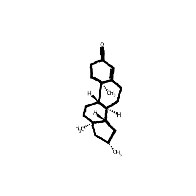 C[C@H]1C[C@H]2[C@@H]3CCC4=CC(=O)CC[C@]4(C)[C@H]3CC[C@]2(C)C1